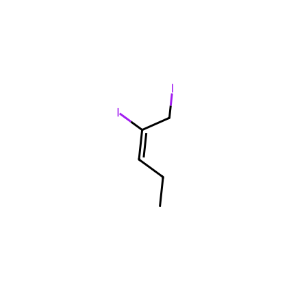 CC/C=C(/I)CI